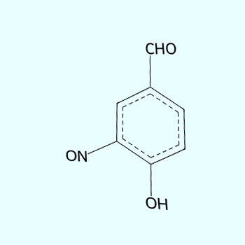 O=Cc1ccc(O)c(N=O)c1